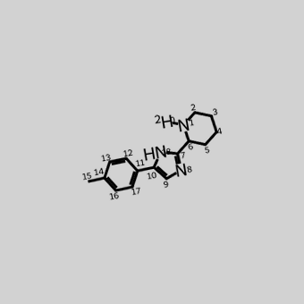 [2H]N1CCCCC1c1ncc(-c2ccc(C)cc2)[nH]1